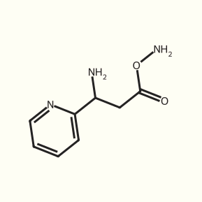 NOC(=O)CC(N)c1ccccn1